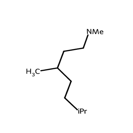 CNCCC(C)CCC(C)C